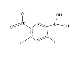 O=[N+]([O-])c1cc(B(O)O)c(F)cc1F